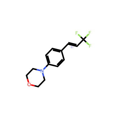 FC(F)(F)/C=C/c1ccc(N2CCOCC2)cc1